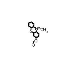 CCN1c2ccccc2Sc2cc(OC=O)ccc21